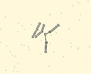 O=[Si]=O.O=[Si]=O.[O]=[Al][O][Al]=[O]